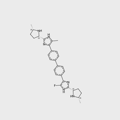 Cc1[nH]c([C@@H]2CC[C@H](C)N2)nc1-c1ccc(-c2ccc(-c3nc([C@@H]4CC[C@H](C)N4)[nH]c3F)cc2)cc1